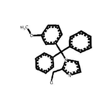 COc1cccc(C(c2ccccc2)(c2ccccc2)n2ccnc2CCl)c1